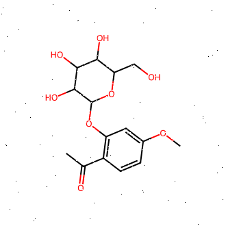 COc1ccc(C(C)=O)c(OC2OC(CO)C(O)C(O)C2O)c1